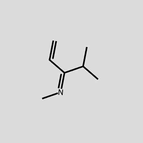 C=C/C(=N\C)C(C)C